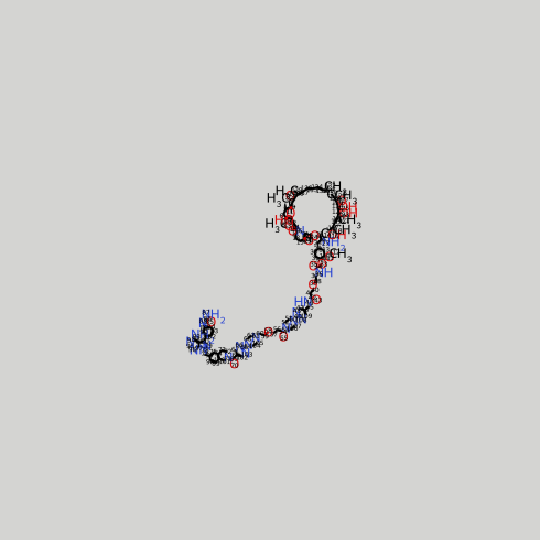 CO[C@H]1C[C@@H]2CC[C@@H](C)[C@@](O)(O2)C(=O)C(=O)N2CCCC[C@H]2C(=O)O[C@H]([C@H](N)C[C@@H]2CC[C@@H](OC(=O)NCCOCCC(=O)NCc3cnc(N4CCN(C(=O)CCOCCN5CCN(c6ncc(C(=O)N7CCc8cc(Cn9nc(-c%10ccc%11oc(N)nc%11c%10)c%10c(N)ncnc%109)ccc8C7)cn6)CC5)CC4)nc3)[C@H](OC)C2)C[C@@H](O)[C@H](C)/C=C(\C)[C@@H](O)[C@@H](O)C(=O)[C@H](C)C[C@H](C)/C=C/C=C/C=C/1C